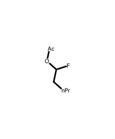 CCCCC(F)OC(C)=O